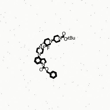 CC(C)(C)OC(=O)N1CCC(N2CC[C@@H](CN3CCN(c4cccc5c4CCN5C(=O)OCc4ccccc4)CC3)C(F)(F)C2)CC1